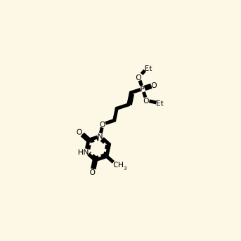 CCOP(=O)(C=CCCOn1cc(C)c(=O)[nH]c1=O)OCC